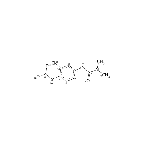 CN(C)C(=O)Nc1ccc(SC(F)F)c(Cl)c1